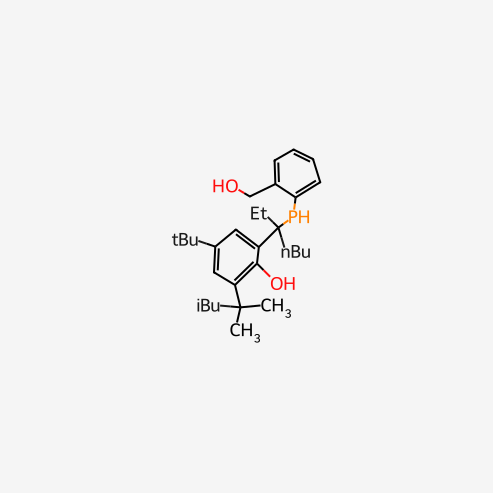 CCCCC(CC)(Pc1ccccc1CO)c1cc(C(C)(C)C)cc(C(C)(C)C(C)CC)c1O